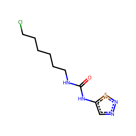 O=C(NCCCCCCCl)Nc1cnns1